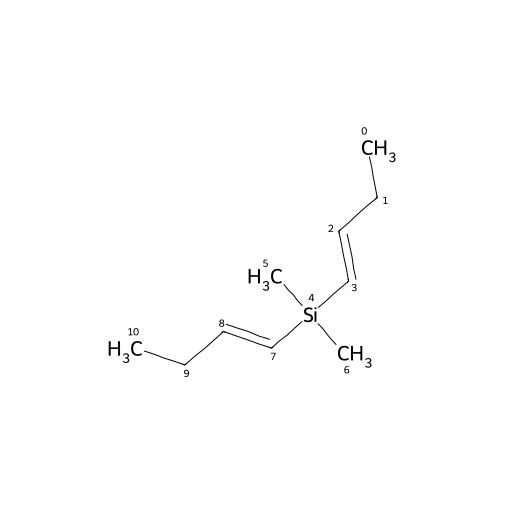 CCC=C[Si](C)(C)C=CCC